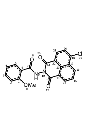 COc1ccccc1C(=O)NN1C(=O)c2cccc3c(Cl)ccc(c23)C1=O